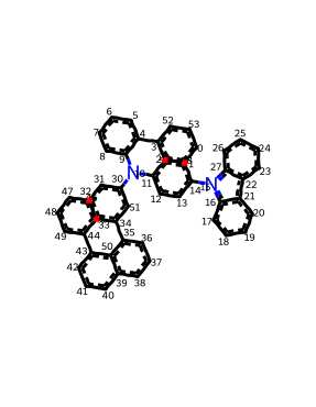 c1ccc(-c2ccccc2N(c2ccc(-n3c4ccccc4c4ccccc43)cc2)c2cccc(-c3cccc4cccc(-c5ccccc5)c34)c2)cc1